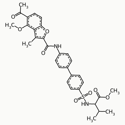 COC(=O)C(NS(=O)(=O)c1ccc(-c2ccc(NC(=O)c3oc4ccc(C(C)=O)c(OC)c4c3C)cc2)cc1)C(C)C